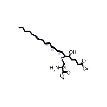 CCCCC/C=C/C/C=C/C=C/C=C/C(SC[C@H](N)C(=O)OC)C(O)CCCC(=O)OC